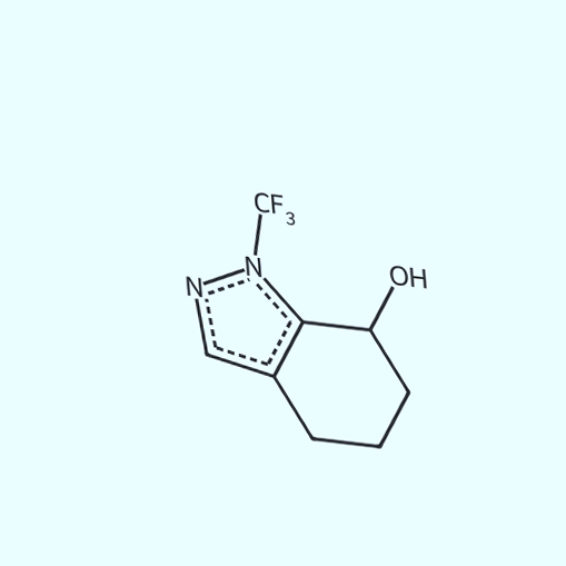 OC1CCCc2cnn(C(F)(F)F)c21